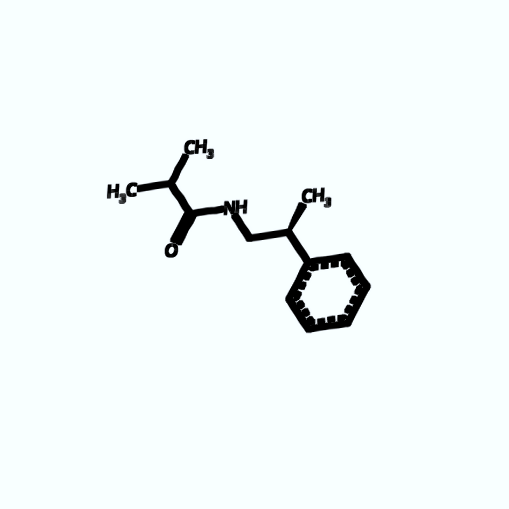 CC(C)C(=O)NC[C@@H](C)c1ccccc1